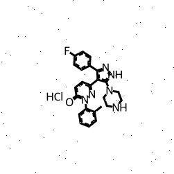 Cc1ccccc1-n1nc(-c2c(-c3ccc(F)cc3)n[nH]c2N2CCNCC2)ccc1=O.Cl